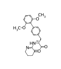 COc1cccc(OC)c1-c1ccc(C[C@H](NC2=NCCCC2)C(=O)O)cc1